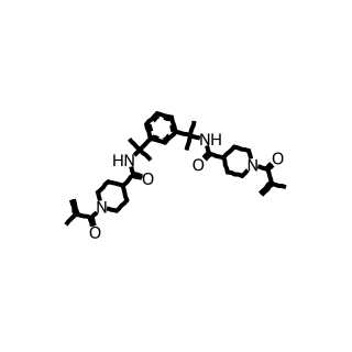 C=C(C)C(=O)N1CCC(C(=O)NC(C)(C)c2cccc(C(C)(C)NC(=O)C3CCN(C(=O)C(=C)C)CC3)c2)CC1